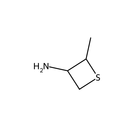 CC1SCC1N